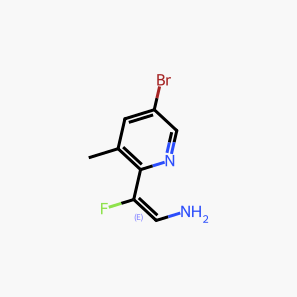 Cc1cc(Br)cnc1/C(F)=C\N